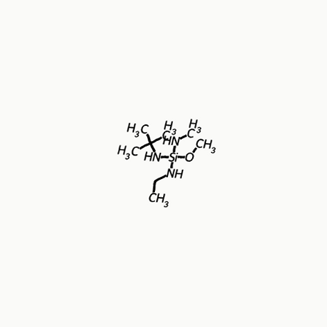 CCN[Si](NC)(NC(C)(C)C)OC